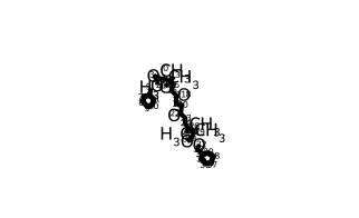 CC(C(=O)OCc1ccccc1)C(C)(C)CCC(=O)CCC(=O)CCC(C)(C)C(C)C(=O)OCc1ccccc1